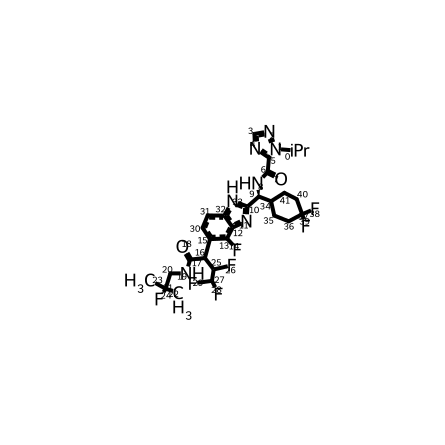 CC(C)n1ncnc1C(=O)N[C@H](c1nc2c(F)c(C(C(=O)NCC(C)(C)F)C(F)C(F)F)ccc2[nH]1)C1CCC(F)(F)CC1